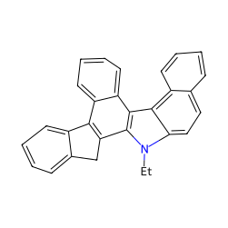 CCn1c2ccc3ccccc3c2c2c3ccccc3c3c(c21)Cc1ccccc1-3